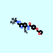 Cc1c(NC(=O)c2ccc(OCC3CCCO3)cc2)ccc2cc(CNC(C)C)cnc12